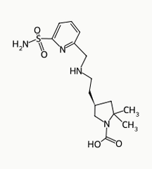 CC1(C)C[C@H](CCNCc2cccc(S(N)(=O)=O)n2)CN1C(=O)O